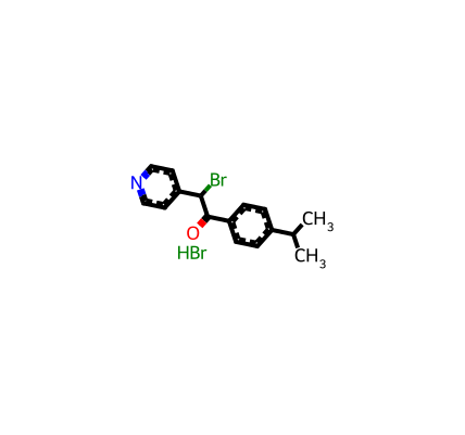 Br.CC(C)c1ccc(C(=O)C(Br)c2ccncc2)cc1